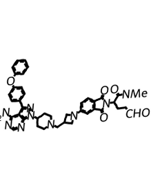 CNC(=O)C(CCC=O)N1C(=O)c2ccc(N3CC(CN4CCC(n5nc(-c6ccc(Oc7ccccc7)cc6)c6c(N)ncnc65)CC4)C3)cc2C1=O